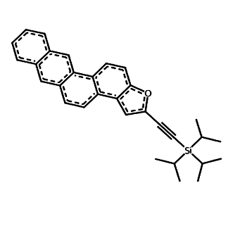 CC(C)[Si](C#Cc1cc2c(ccc3c4cc5ccccc5cc4ccc23)o1)(C(C)C)C(C)C